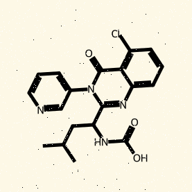 CC(C)CC(NC(=O)O)c1nc2cccc(Cl)c2c(=O)n1-c1cccnc1